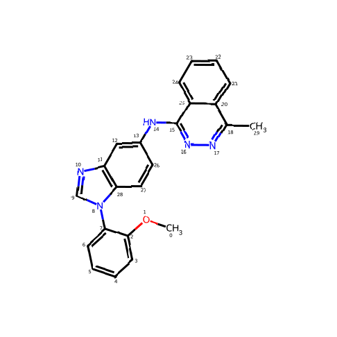 COc1ccccc1-n1cnc2cc(Nc3nnc(C)c4ccccc34)ccc21